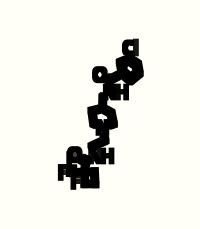 O=C(NCC1CCN(CCNC(=O)C2(C(F)(F)F)CCC2)CC1)c1cccc(Cl)c1